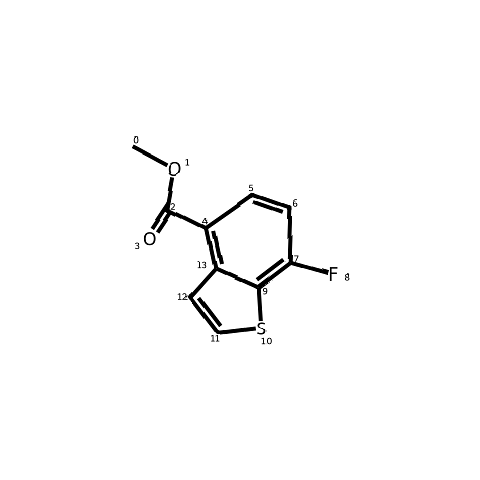 COC(=O)c1ccc(F)c2sccc12